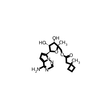 CC1(CC(=O)OC[C@@]2(C)O[C@@H](c3ccc4c(N)ncnn34)[C@H](O)[C@@H]2O)CCC1